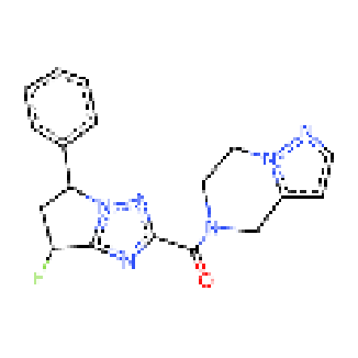 O=C(c1nc2n(n1)C(c1ccccc1)CC2F)N1CCn2nccc2C1